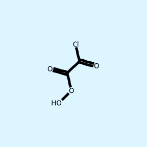 O=C(Cl)C(=O)OO